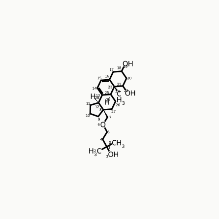 CC(C)(O)CCOC[C@@]12CCC[C@H]1C1=CC=C3CC(O)CC(O)[C@]3(C)[C@H]1CC2